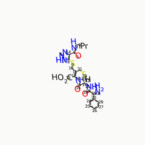 CCCNC(=O)c1nn[nH]c1SCC1=C(C(=O)O)N2C(=O)C(NC(=O)C(N)c3ccccc3)[C@@H]2SC1